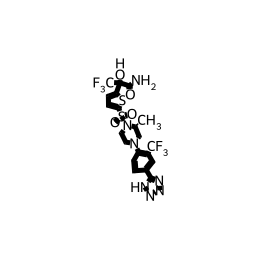 C[C@@H]1CN(c2ccc(-c3nnn[nH]3)cc2C(F)(F)F)CCN1S(=O)(=O)c1ccc(C(O)(C(N)=O)C(F)(F)F)s1